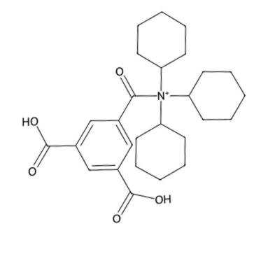 O=C(O)c1cc(C(=O)O)cc(C(=O)[N+](C2CCCCC2)(C2CCCCC2)C2CCCCC2)c1